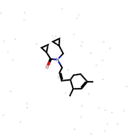 CC1=CC(C)C(/C=C\CN(CC2CC2)C(=O)C2CC2)CC1